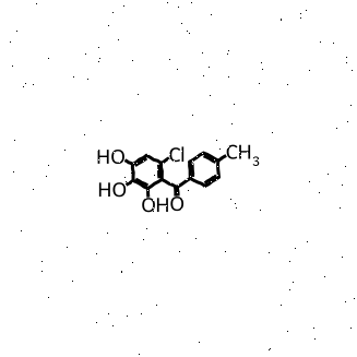 Cc1ccc(C(=O)c2c(Cl)cc(O)c(O)c2O)cc1